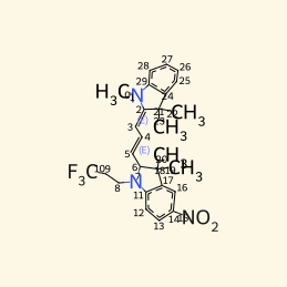 CN1/C(=C/C=C/C2N(CCC(F)(F)F)c3ccc([N+](=O)[O-])cc3C2(C)C)C(C)(C)c2ccccc21